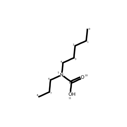 CCCCCN(CCC)C(=O)O